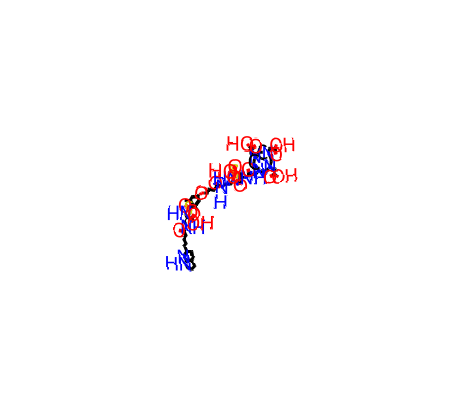 Cc1cc(OCCCC(=O)NCCNC(=O)C(CS(=O)(=O)O)NC(=O)CN2CCN(CC(=O)O)CCN(CC(=O)O)CCN(CC(=O)O)CC2)cc(C)c1S(=O)(=O)N[C@H](CNC(=O)CCCCc1ccc2c(n1)NCCC2)C(=O)O